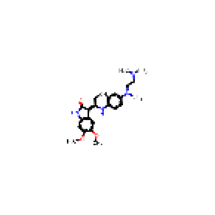 CCC(Nc1ccc(N(C)CCN(C)C)cc1)=C1C(=O)Nc2cc(OC)c(OC)cc21